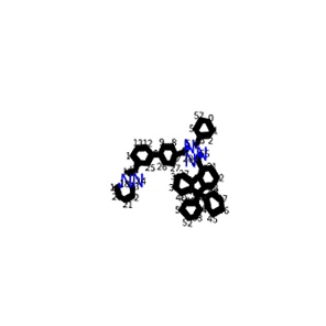 c1ccc(-c2nc(-c3ccc(-c4cccc(-c5cn6ccccc6n5)c4)cc3)nc(-c3cccc4c3-c3ccccc3C4(c3ccccc3)c3ccccc3)n2)cc1